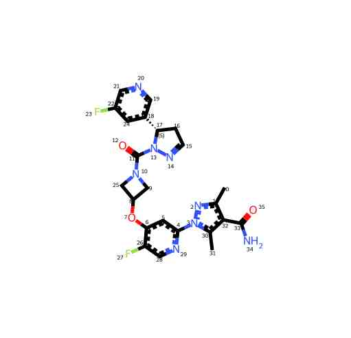 Cc1nn(-c2cc(OC3CN(C(=O)N4N=CC[C@H]4c4cncc(F)c4)C3)c(F)cn2)c(C)c1C(N)=O